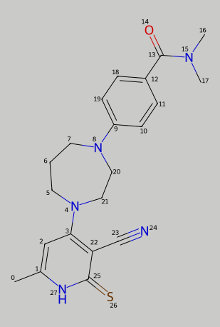 Cc1cc(N2CCCN(c3ccc(C(=O)N(C)C)cc3)CC2)c(C#N)c(=S)[nH]1